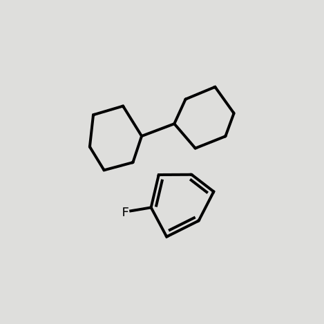 C1CCC(C2CCCCC2)CC1.Fc1ccccc1